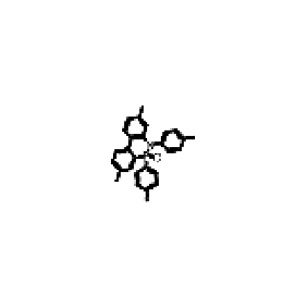 Cc1ccc(N2c3cc(C)ccc3-c3ccc(C)cc3P2(=O)c2ccc(C)cc2)cc1